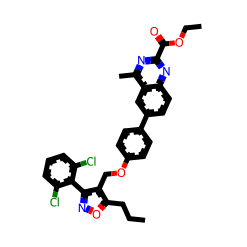 CCCc1onc(-c2c(Cl)cccc2Cl)c1COc1ccc(-c2ccc3nc(C(=O)OCC)nc(C)c3c2)cc1